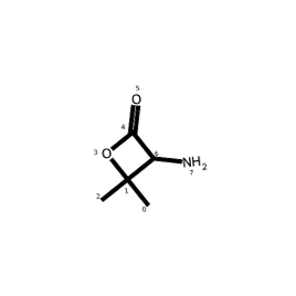 CC1(C)OC(=O)C1N